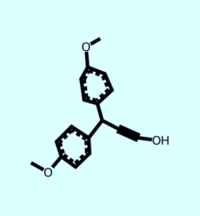 COc1ccc(C(C#CO)c2ccc(OC)cc2)cc1